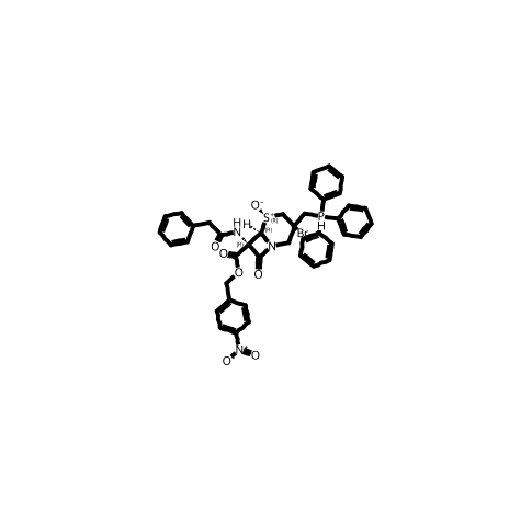 O=C(Cc1ccccc1)N[C@@]1(C(=O)OCc2ccc([N+](=O)[O-])cc2)C(=O)N2CC(Br)(C[PH](c3ccccc3)(c3ccccc3)c3ccccc3)C[S@+]([O-])[C@@H]21